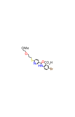 COCCOCCCSc1ccc(C(=O)Nc2ccc(Br)cc2C(=O)O)cn1